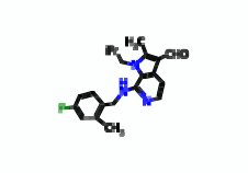 Cc1cc(F)ccc1CNc1nccc2c(C=O)c(C)n(CC(C)C)c12